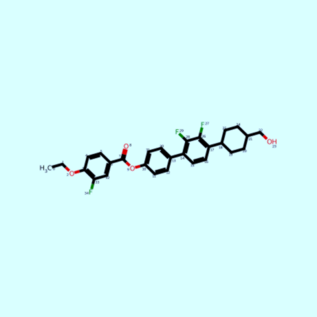 CCOc1ccc(C(=O)Oc2ccc(-c3ccc(C4CCC(CO)CC4)c(F)c3F)cc2)cc1F